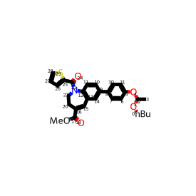 CCCCOC(C)Oc1ccc(-c2ccc3c(c2)C=C(C(=O)OC)CCN3C(=O)c2cccs2)cc1